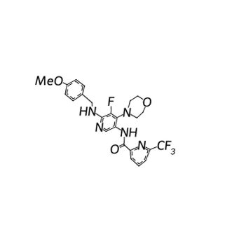 COc1ccc(CNc2ncc(NC(=O)c3cccc(C(F)(F)F)n3)c(N3CCOCC3)c2F)cc1